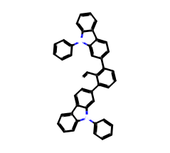 C=Cc1c(-c2ccc3c4ccccc4n(-c4ccccc4)c3c2)cccc1-c1ccc2c3ccccc3n(-c3ccccc3)c2c1